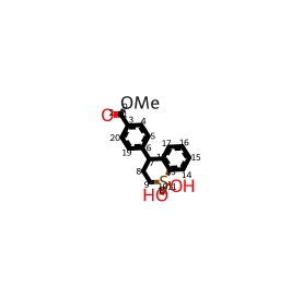 COC(=O)c1ccc(C2CCS(O)(O)c3ccccc32)cc1